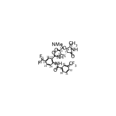 CNC(=O)C(=O)C(C[C@@H]1C[C@@H](C)NC1=O)NC(=O)c1cc(C(F)F)ccc1NC(=O)c1cccc(C(F)(F)F)c1